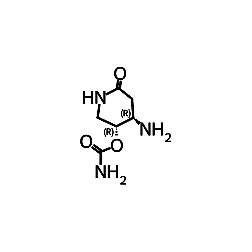 NC(=O)O[C@@H]1CNC(=O)C[C@H]1N